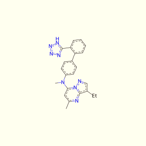 CCc1cnn2c(N(C)c3ccc(-c4ccccc4-c4nnn[nH]4)cc3)cc(C)nc12